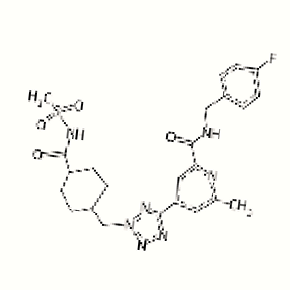 Cc1cc(-c2nnn(CC3CCC(C(=O)NS(C)(=O)=O)CC3)n2)cc(C(=O)NCc2ccc(F)cc2)n1